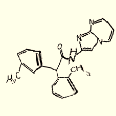 Cc1cccc(C(C(=O)Nc2cn3cccnc3n2)c2ccccc2C)c1